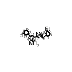 CCc1cccc(Cn2cc(-c3cc(-c4cccc(C)c4)nc(N)n3)nn2)n1